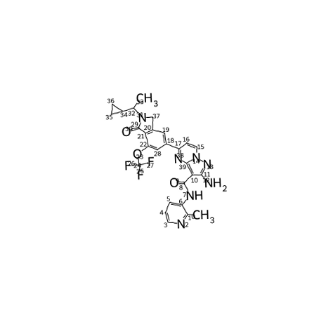 Cc1ncccc1NC(=O)c1c(N)nn2ccc(-c3cc4c(c(OC(F)(F)F)c3)C(=O)N(C(C)C3CC3)C4)nc12